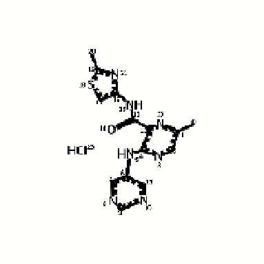 Cc1cnc(Nc2cncnc2)c(C(=O)Nc2csc(C)n2)n1.Cl